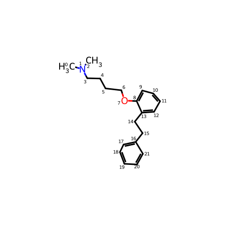 CN(C)CCCCOc1ccccc1CCc1ccccc1